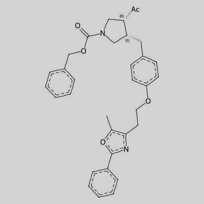 CC(=O)[C@H]1CN(C(=O)OCc2ccccc2)C[C@H]1Cc1ccc(OCCc2nc(-c3ccccc3)oc2C)cc1